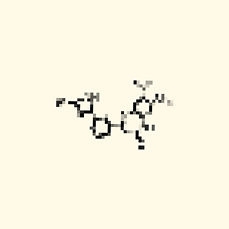 CC(C)c1nc(-c2cccc(C3=Nc4cc(N(C)C)c(C(F)(F)F)cc4NC(=O)C3)c2)c[nH]1